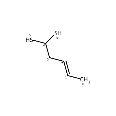 CC=CCC(S)S